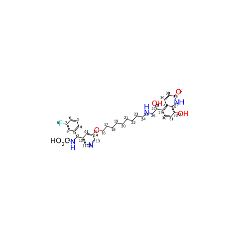 O=C(O)NC(c1cccc(F)c1)c1cncc(OCCCCCCCCCNCC(O)c2ccc(O)c3[nH]c(=O)ccc23)c1